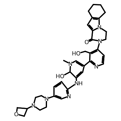 CN1C=C(c2nccc(N3CCn4c(cc5c4CCCC5)C3=O)c2CO)C=C(Nc2ccc(N3CCN(C4COC4)CC3)cn2)C1O